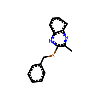 Cc1nc2ccccc2nc1SCc1ccccc1